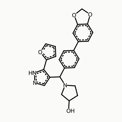 OC1CCN(C(c2ccc(-c3ccc4c(c3)OCO4)cc2)c2cn[nH]c2-c2ccco2)C1